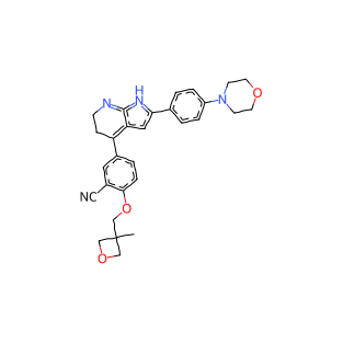 CC1(COc2ccc(C3=c4cc(-c5ccc(N6CCOCC6)cc5)[nH]c4=NCC3)cc2C#N)COC1